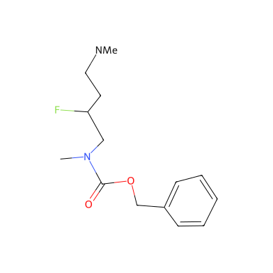 CNCCC(F)CN(C)C(=O)OCc1ccccc1